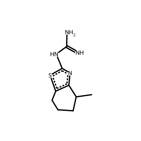 CC1CCCc2sc(NC(=N)N)nc21